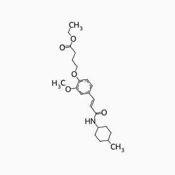 CCOC(=O)CCCOc1ccc(C=CC(=O)NC2CCC(C)CC2)cc1OC